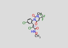 CONC(=O)/C(Cl)=C/c1cc(Cl)ccc1-n1c(=O)cc(C(F)(F)F)n(C)c1=O